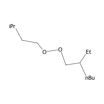 CCCCC(CC)COOCCC(C)C